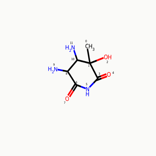 CC1(O)C(=O)NC(=O)C(N)C1N